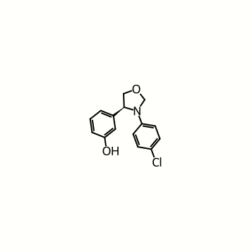 Oc1cccc([C@H]2COCN2c2ccc(Cl)cc2)c1